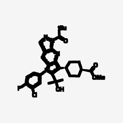 COC(=O)[C@H]1CC[C@H](c2c(C(C)(C)O)n(-c3ccc(F)c(Cl)c3)c3cc4cnn(C(=O)C(C)(C)C)c4nc32)CC1